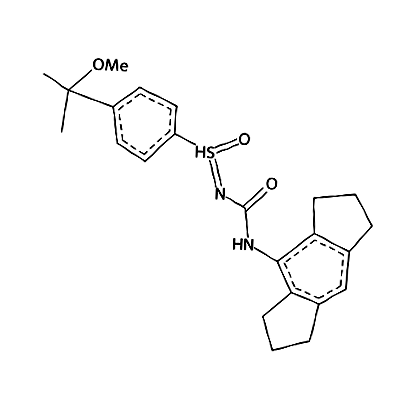 COC(C)(C)c1ccc(/[SH](=O)=N/C(=O)Nc2c3c(cc4c2CCC4)CCC3)cc1